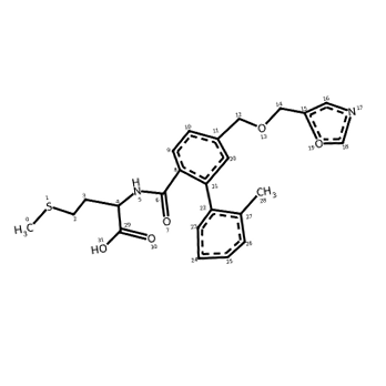 CSCCC(NC(=O)c1ccc(COCc2cnco2)cc1-c1ccccc1C)C(=O)O